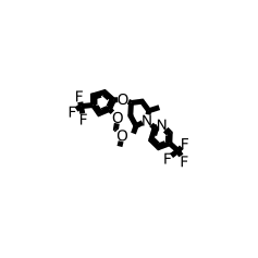 COCOc1cc(C(F)(F)F)ccc1OC1CC(C)N(c2ccc(C(F)(F)F)cn2)C(C)C1